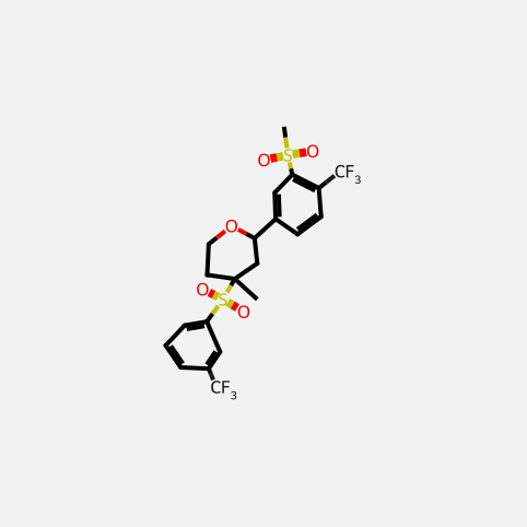 CC1(S(=O)(=O)c2cccc(C(F)(F)F)c2)CCOC(c2ccc(C(F)(F)F)c(S(C)(=O)=O)c2)C1